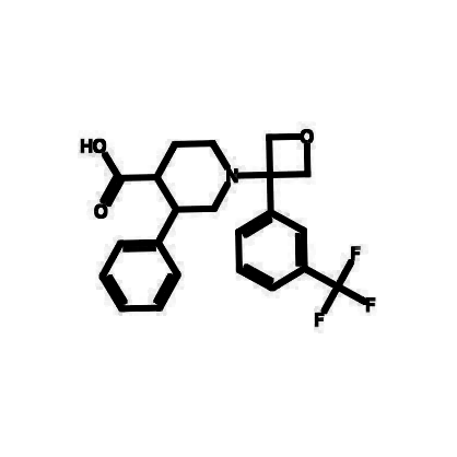 O=C(O)C1CCN(C2(c3cccc(C(F)(F)F)c3)COC2)CC1c1ccccc1